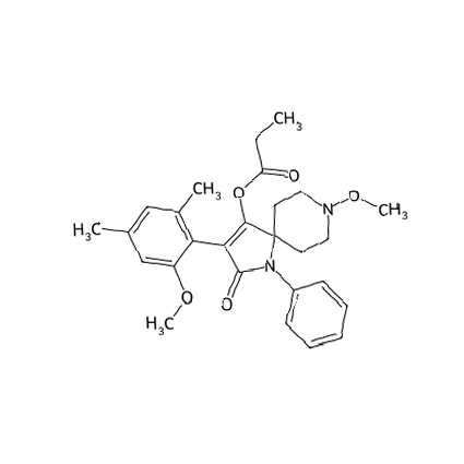 CCC(=O)OC1=C(c2c(C)cc(C)cc2OC)C(=O)N(c2ccccc2)C12CCN(OC)CC2